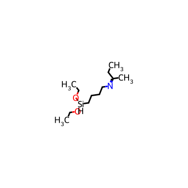 CCO[SiH](CCCCN=C(C)CC)OCC